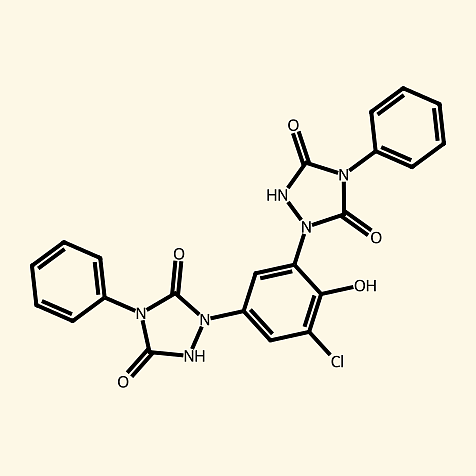 O=c1[nH]n(-c2cc(Cl)c(O)c(-n3[nH]c(=O)n(-c4ccccc4)c3=O)c2)c(=O)n1-c1ccccc1